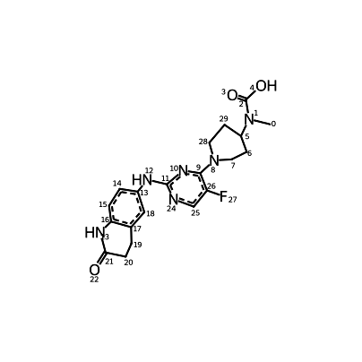 CN(C(=O)O)C1CCN(c2nc(Nc3ccc4c(c3)CCC(=O)N4)ncc2F)CC1